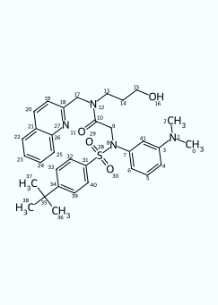 CN(C)c1cccc(N(CC(=O)N(CCCO)Cc2ccc3ccccc3n2)S(=O)(=O)c2ccc(C(C)(C)C)cc2)c1